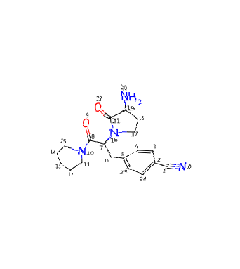 N#Cc1ccc(CC(C(=O)N2CCCCC2)N2CCC(N)C2=O)cc1